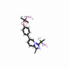 Cc1nc(C(C)(F)P)n2cc(-c3ccc(OC(C)(C)P)cc3)ccc12